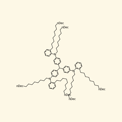 CCCCCCCCCCCCCCCCCCc1ccccc1N(CCCCCCCCCCCCCCCCCC)c1ccc(C(c2ccc(N(CCCCCCCCCCCCCCCCCC)c3ccccc3CCCCCCCCCCCCCCCCCC)cc2)c2ccc(N(CCCCCCCCCCCCCCCCCC)c3ccccc3CCCCCCCCCCCCCCCCCC)cc2)cc1